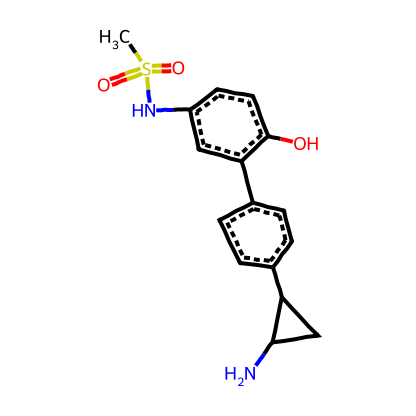 CS(=O)(=O)Nc1ccc(O)c(-c2ccc(C3CC3N)cc2)c1